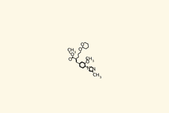 CCOC(=O)/C(=C/c1ccc(-n2cnc(C)c2)c(OC)c1)CCCOC1CCCCO1